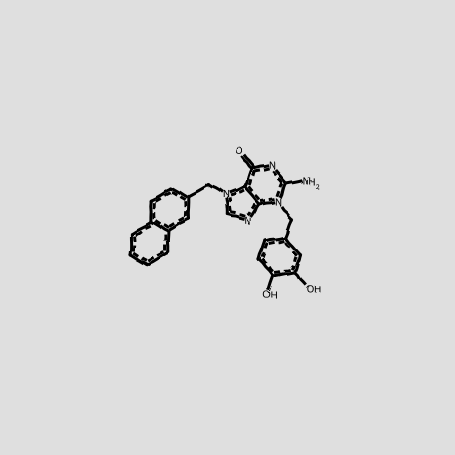 Nc1nc(=O)c2c(ncn2Cc2ccc3ccccc3c2)n1Cc1ccc(O)c(O)c1